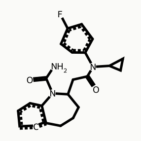 NC(=O)N1c2ccccc2CCCC1CC(=O)N(c1ccc(F)cc1)C1CC1